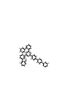 c1ccc(-c2ccc(-c3ccc(-c4nc(-c5ccccc5-c5ccccc5)nc(-c5cccc6c5oc5ccccc56)n4)cc3)cc2)cc1